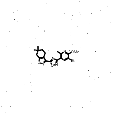 CCc1cc(-c2noc(-c3noc4c3CCC(C)(C)C4)n2)c(C)nc1OC